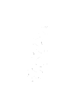 COC(=O)Cc1ccc(-c2ccc(OCc3ccc(C(F)(F)F)c(O)c3C(=O)OC(C)(C)C)cc2F)cc1